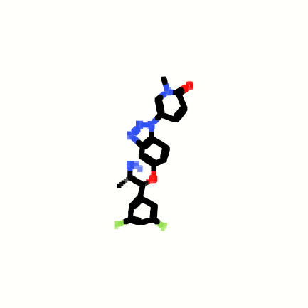 C[C@H](N)[C@H](Oc1ccc2c(c1)nnn2-c1ccc(=O)n(C)c1)c1cc(F)cc(F)c1